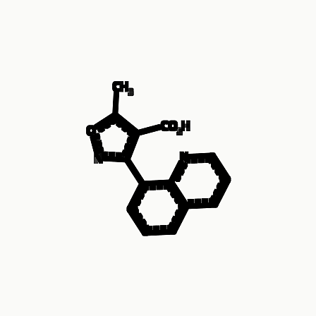 Cc1onc(-c2cccc3cccnc23)c1C(=O)O